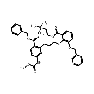 CC(C)(C)OC(=O)Nc1ccc(C(=O)OCc2ccccc2)c(CCCOc2c(OCc3ccccc3)cccc2C(=O)OCC[Si](C)(C)C)c1